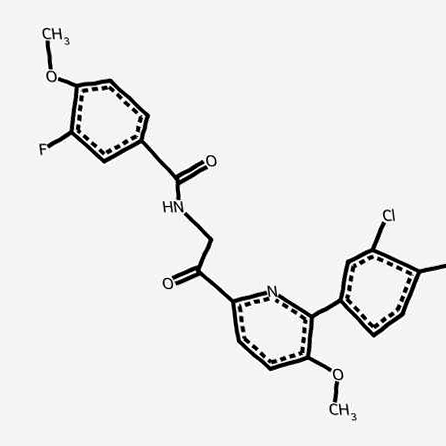 COc1ccc(C(=O)NCC(=O)c2ccc(OC)c(-c3ccc(F)c(Cl)c3)n2)cc1F